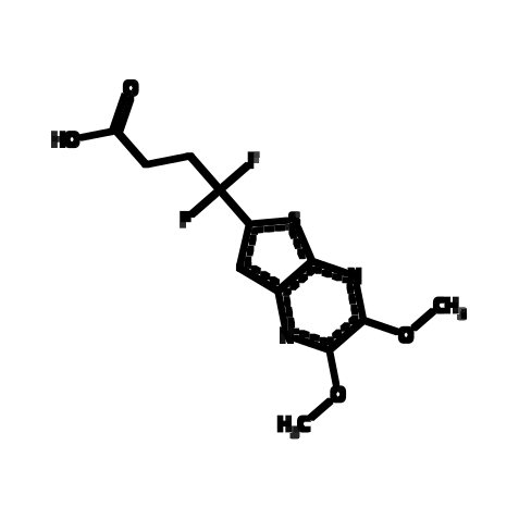 COc1nc2cc(C(F)(F)CCC(=O)O)sc2nc1OC